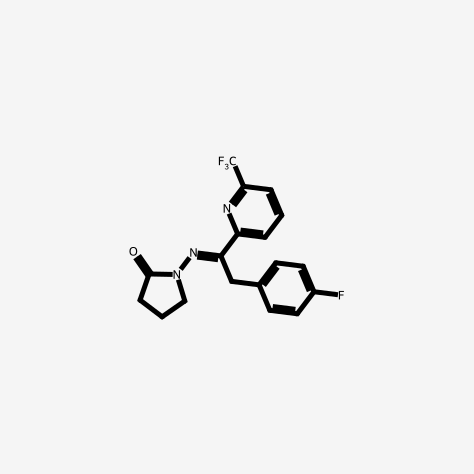 O=C1CCCN1/N=C(\Cc1ccc(F)cc1)c1cccc(C(F)(F)F)n1